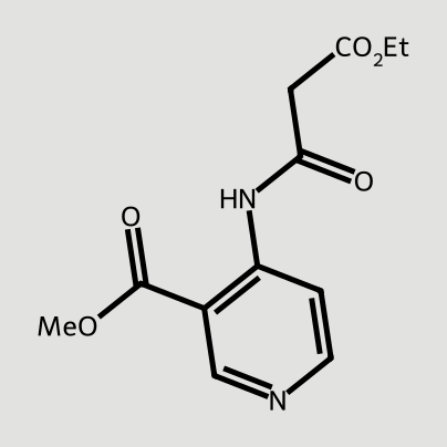 CCOC(=O)CC(=O)Nc1ccncc1C(=O)OC